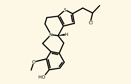 COc1c(O)ccc2c1CN1CCc3sc(CC(C)Cl)cc3[C@@H]1C2